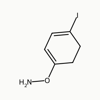 NOC1=CC=C(I)CC1